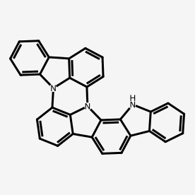 c1ccc2c(c1)[nH]c1c2ccc2c3cccc4c3n(c3cccc5c6ccccc6n4c53)c21